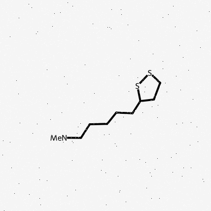 CNCCCCCC1CCSS1